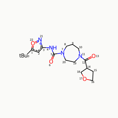 CC(C)(C)c1cc(NC(=O)N2CCCN(C(=O)C3CCOC3)CC2)no1